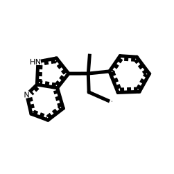 [CH2]CC(C)(c1ccccc1)c1c[nH]c2ncccc12